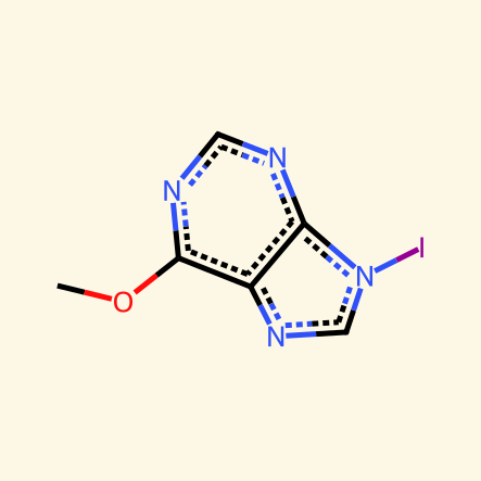 COc1ncnc2c1ncn2I